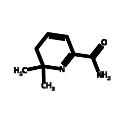 CC1(C)CC=CC(C(N)=O)=N1